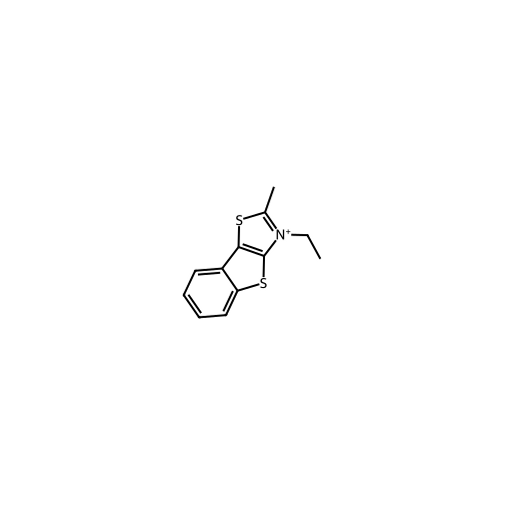 CC[n+]1c(C)sc2c3ccccc3sc21